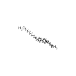 CCCCCCCCCCCCSc1ccc(-c2ccc(OCCCCC)cc2)cc1